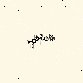 Cn1nnnc1N1CCC(NC(=O)c2cnc3cc(C4CC4)c(C#N)cc3c2)CC1